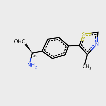 Cc1ncsc1-c1ccc([C@@H](N)C=O)cc1